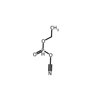 CCO[PH](=O)OC#N